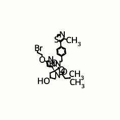 Cc1ncsc1-c1ccc(CNC(=O)[C@@]2(c3cc(OCCBr)no3)C[C@@H](O)CN2C(=O)CC(C)C)cc1